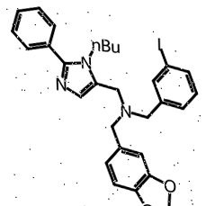 CCCCn1c(CN(Cc2cccc(I)c2)Cc2ccc3c(c2)OCO3)cnc1-c1ccccc1